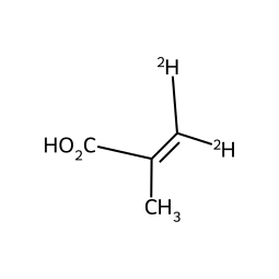 [2H]C([2H])=C(C)C(O)=[13O]